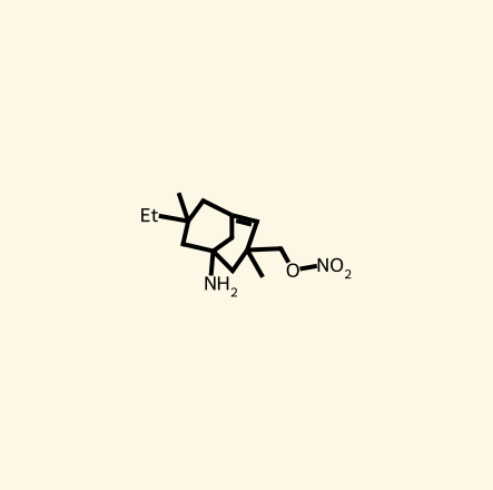 CCC1(C)CC2=CC(C)(CO[N+](=O)[O-])CC(N)(C2)C1